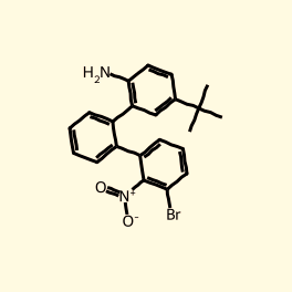 CC(C)(C)c1ccc(N)c(-c2ccccc2-c2cccc(Br)c2[N+](=O)[O-])c1